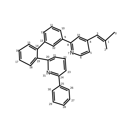 CC(C)=Cc1ccnc(-c2cccc(-c3ccccc3-c3cccc(-c4ccccc4)n3)c2)c1